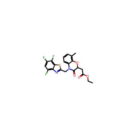 CCOC(=O)CC1Oc2c(C)cccc2N(Cc2nc3c(F)cc(F)c(F)c3s2)C1=O